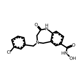 O=C1CN(Cc2cccc(Cl)c2)Cc2cc(C(=O)NO)ccc2N1